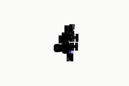 CN(C)C/C=C/C(=O)Nc1cc2c(Nc3ccc(F)c(F)c3)ncnc2cc1OC1CCOC1